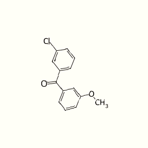 COc1cccc(C(=O)c2cccc(Cl)c2)c1